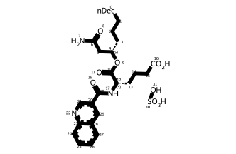 CCCCCCCCCCCCC[C@@H](CC(N)=O)OC(=O)[C@H](CCCC(=O)O)NC(=O)c1cnc2ccccc2c1.O=S(=O)(O)O